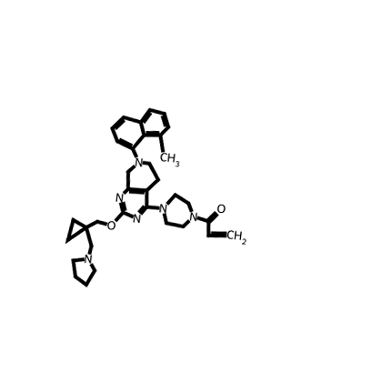 C=CC(=O)N1CCN(c2nc(OCC3(CN4CCCC4)CC3)nc3c2CCN(c2cccc4cccc(C)c24)C3)CC1